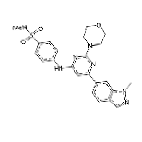 CNS(=O)(=O)c1ccc(Nc2cc(-c3ccc4cnn(C)c4c3)nc(N3CCOCC3)n2)cc1